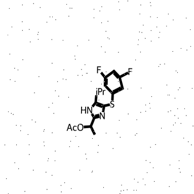 CC(=O)OC(C)c1nc(Sc2cc(F)cc(F)c2)c(C(C)C)[nH]1